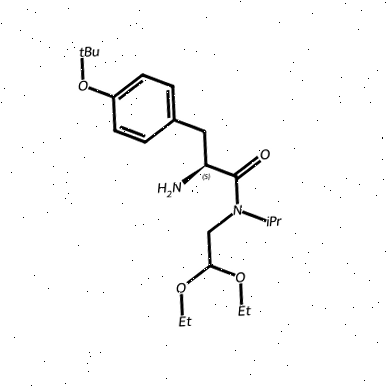 CCOC(CN(C(=O)[C@@H](N)Cc1ccc(OC(C)(C)C)cc1)C(C)C)OCC